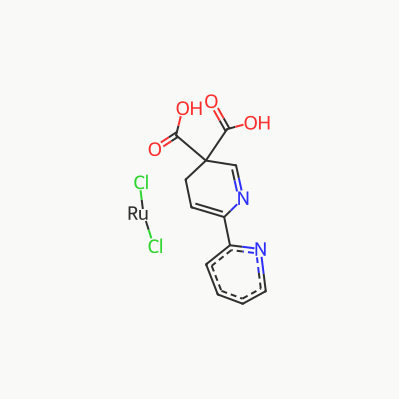 O=C(O)C1(C(=O)O)C=NC(c2ccccn2)=CC1.[Cl][Ru][Cl]